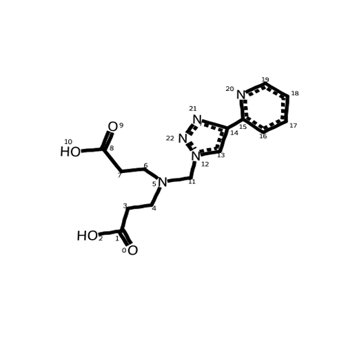 O=C(O)CCN(CCC(=O)O)Cn1cc(-c2ccccn2)nn1